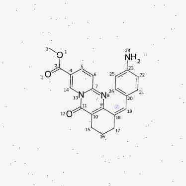 COC(=O)c1ccc2nc3c(c(=O)n2c1)CCC/C3=C/c1ccc(N)cc1